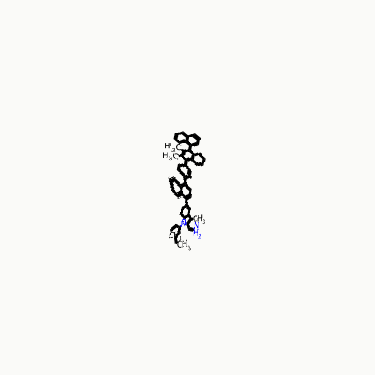 C\C=C/C=C(\C=C/C)n1c(/C=C\N)c(C)c2cc(-c3ccc(-c4ccc(C5=C6C=CCCC6C(c6cccc7ccccc67)C(C)=C5C)cc4)c4ccccc34)ccc21